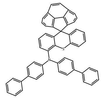 c1ccc(-c2ccc(N(c3ccc(-c4ccccc4)cc3)c3cccc4c3Sc3ccccc3C43c4cccc5ccc6cccc3c6c45)cc2)cc1